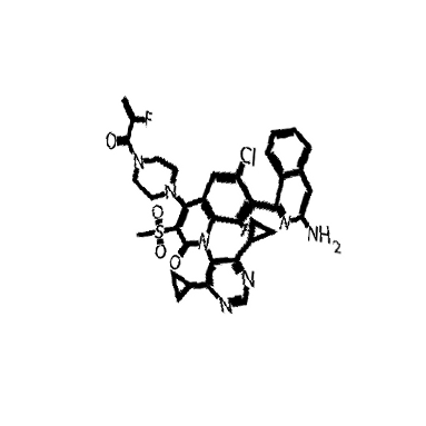 C=C(F)C(=O)N1CCN(c2c(S(C)(=O)=O)c(=O)n(-c3c(C4CC4)ncnc3C3CC3)c3c(F)c(-c4nc(N)cc5ccccc45)c(Cl)cc23)CC1